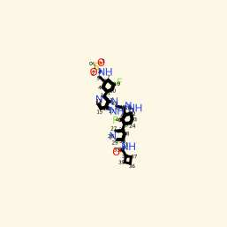 CS(=O)(=O)NCc1cc(F)cc(-c2nccc3[nH]c(-c4n[nH]c5ccc(-c6cncc(NC(=O)C7CCC7)c6)c(F)c45)nc23)c1